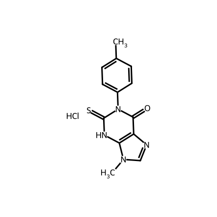 Cc1ccc(-n2c(=S)[nH]c3c(ncn3C)c2=O)cc1.Cl